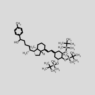 Cc1ccc(C(O)CCC[C@@H](C)[C@H]2CC[C@H]3/C(=C/C=C4C[C@@H](O[Si](C)(C)C(C)(C)C)C(O[Si](C)(C)C(C)(C)C)[C@H](O[Si](C)(C)C(C)(C)C)C4)CCC[C@]23C)cc1